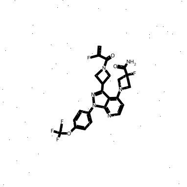 C=C(F)C(=O)N1CC(c2nn(-c3ccc(OC(F)(F)F)cc3)c3nccc(N4CC(F)(C(N)=O)C4)c23)C1